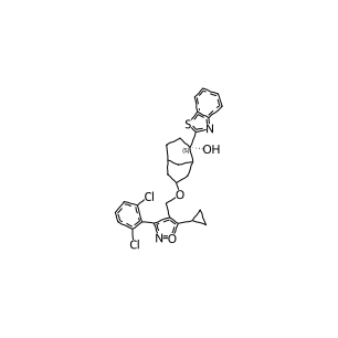 O[C@@]1(c2nc3ccccc3s2)CCC2CC(OCc3c(-c4c(Cl)cccc4Cl)noc3C3CC3)CC1C2